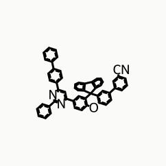 N#Cc1cccc(-c2ccc3c(c2)C2(c4cc(-c5cc(-c6ccc(-c7ccccc7)cc6)nc(-c6ccccc6)n5)ccc4O3)c3ccccc3-c3ccccc32)c1